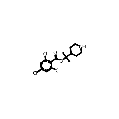 CC(C)(OC(=O)c1c(Cl)cc(Cl)cc1Cl)C1CCNCC1